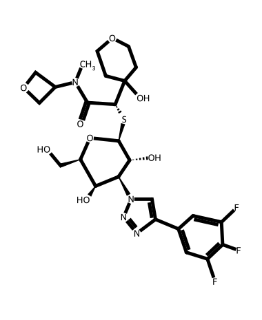 CN(C(=O)[C@@H](S[C@@H]1O[C@H](CO)[C@H](O)[C@H](n2cc(-c3cc(F)c(F)c(F)c3)nn2)[C@H]1O)C1(O)CCOCC1)C1COC1